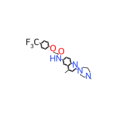 Cc1cc(N2CCCN(C)CC2)nc2ccc(NC(=O)COc3ccc(C(F)(F)F)cc3)cc12